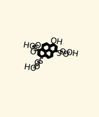 O=S(=O)(O)C1=CC(SOOO)C2=CC=C3C(SOOO)=CC(O)=C4C=CC1=C2C34